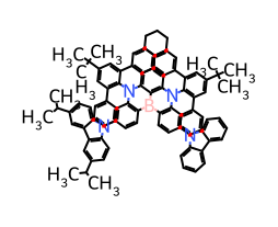 CC(C)c1ccc2c(c1)c1cc(C(C)C)ccc1n2-c1ccc2c(c1)N(c1c(-c3ccccc3)cc(C(C)(C)C)cc1-c1ccccc1)c1cc(C3CCCCC3)cc3c1B2c1ccc(-n2c4ccccc4c4ccccc42)cc1N3c1c(-c2ccccc2)cc(C(C)(C)C)cc1-c1ccccc1